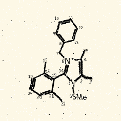 CSn1c(C)c(C)[n+](Cc2ccccc2)c1-c1c(C)c#ccc1C